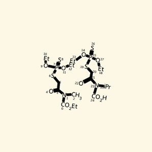 CCOC(=O)N(C)C(=O)CSP(=S)(OCC)OCC.CCOP(=S)(OCC)SCC(=O)N(C(=O)O)C(C)C